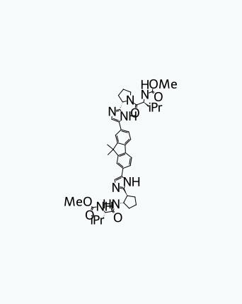 COC(=O)N[C@H](C(=O)N[C@H]1CCC[C@@H]1c1ncc(-c2ccc3c(c2)C(C)(C)c2cc(-c4cnc([C@@H]5CCCN5C(=O)[C@@H](NC(=O)OC)C(C)C)[nH]4)ccc2-3)[nH]1)C(C)C